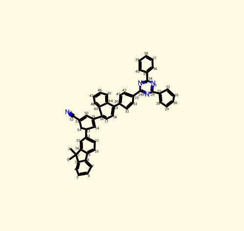 CC1(C)c2ccccc2-c2ccc(C3C=C(c4ccc(-c5ccc(-c6nc(-c7ccccc7)nc(-c7ccccc7)n6)cc5)c5ccccc45)C=C(C#N)C3)cc21